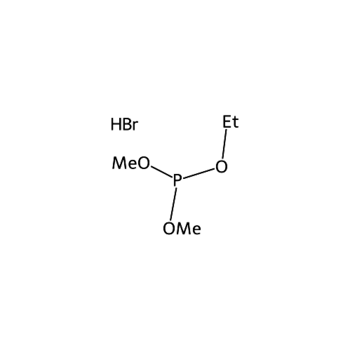 Br.CCOP(OC)OC